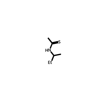 CCC(C)NC(C)=S